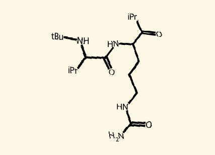 CC(C)C(=O)C(CCCNC(N)=O)NC(=O)C(NC(C)(C)C)C(C)C